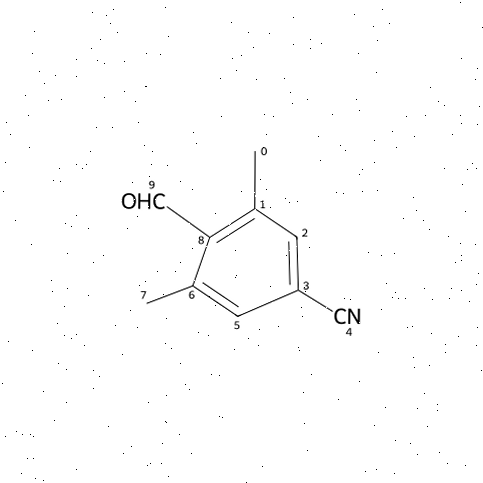 Cc1cc(C#N)cc(C)c1C=O